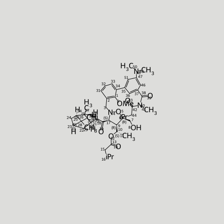 COc1c(CN2O[C@@H](CO)[C@@H]([C@H](C)OC(=O)CC(C)C)[C@H]2C(=O)N[C@H]2C[C@H]3C[C@@H]([C@@H]2C)C3(C)C)cccc1-c1cc(C(=O)N(C)C(=O)CC(C)C)cc(N(C)C)c1